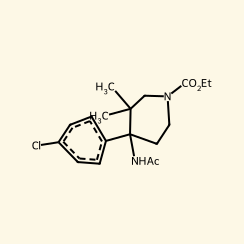 CCOC(=O)N1CCC(NC(C)=O)(c2ccc(Cl)cc2)C(C)(C)C1